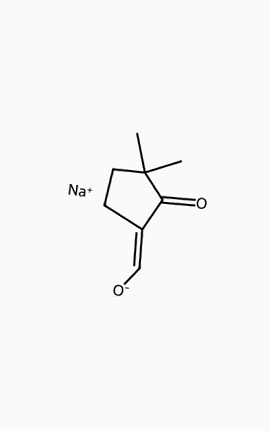 CC1(C)CCC(=C[O-])C1=O.[Na+]